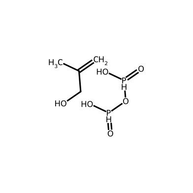 C=C(C)CO.O=[PH](O)O[PH](=O)O